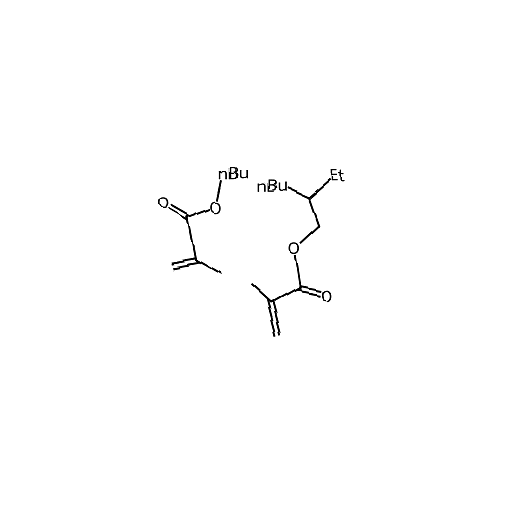 C=C(C)C(=O)OCC(CC)CCCC.C=C(C)C(=O)OCCCC